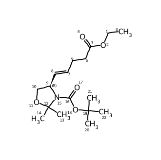 CCOC(=O)CCC=C[C@@H]1COC(C)(C)N1C(=O)OC(C)(C)C